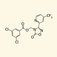 O=C(OCn1c(-c2cc(C(F)(F)F)ccn2)noc1=O)c1cc(Cl)cc(Cl)c1